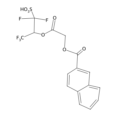 O=C(COC(=O)c1ccc2ccccc2c1)OC(C(F)(F)F)C(F)(F)S(=O)(=O)O